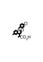 Cc1ccc2c(c1)c(C(C)C(=O)O)cc(=O)n2Cc1ccc(Cl)cc1